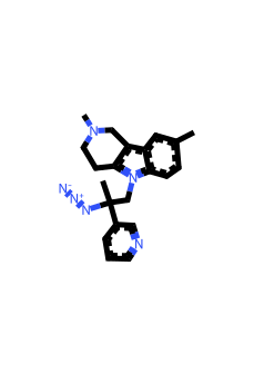 Cc1ccc2c(c1)c1c(n2CC(C)(N=[N+]=[N-])c2cccnc2)CCN(C)C1